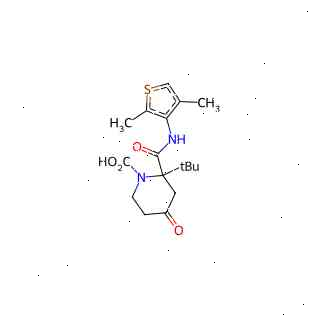 Cc1csc(C)c1NC(=O)C1(C(C)(C)C)CC(=O)CCN1C(=O)O